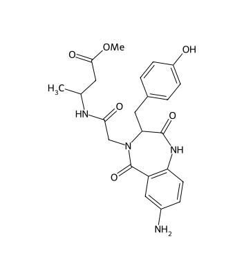 COC(=O)CC(C)NC(=O)CN1C(=O)c2cc(N)ccc2NC(=O)C1Cc1ccc(O)cc1